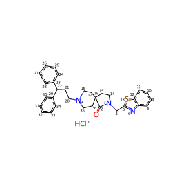 Cl.O=C1N(Cc2nc3ccccc3s2)CCC12CCN(CCC(c1ccccc1)c1ccccc1)CC2